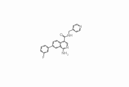 Nc1ncc(C(=O)NCc2ccncc2)c2ccc(-c3cccc(F)c3)cc12